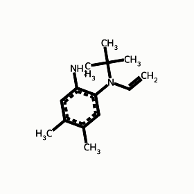 C=CN(c1cc(C)c(C)cc1N)C(C)(C)C